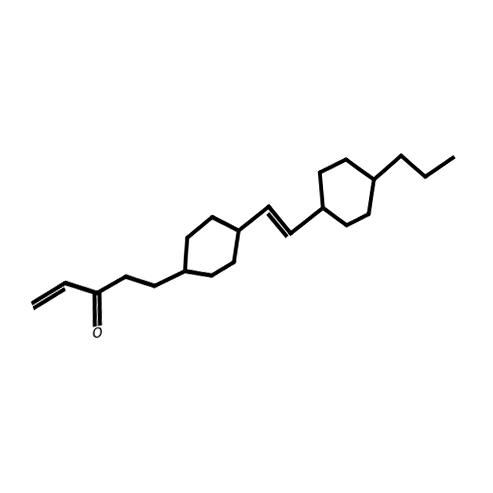 C=CC(=O)CCC1CCC(C=CC2CCC(CCC)CC2)CC1